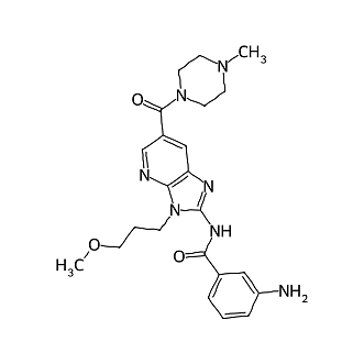 COCCCn1c(NC(=O)c2cccc(N)c2)nc2cc(C(=O)N3CCN(C)CC3)cnc21